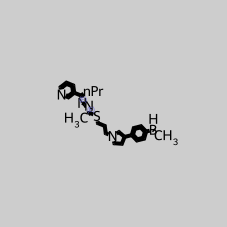 CBc1ccc(C2CCN(CCCS/C(C)=N/N=C(\CCC)c3cccnc3)C2)cc1